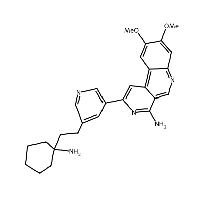 COc1cc2ncc3c(N)nc(-c4cncc(CCC5(N)CCCCC5)c4)cc3c2cc1OC